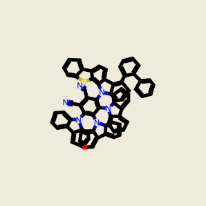 N#Cc1c(C#N)c(-n2c3cccc(-c4ccccc4-c4ccccc4)c3c3ccc4c5ccccc5sc4c32)c(-n2c3ccccc3c3ccccc32)c(-n2c3ccccc3c3ccccc32)c1-n1c2ccccc2c2ccccc21